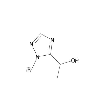 CC(O)c1ncnn1C(C)C